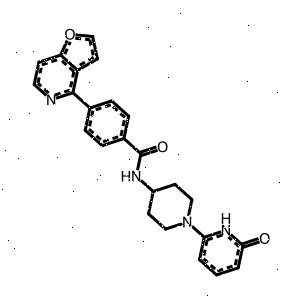 O=C(NC1CCN(c2cccc(=O)[nH]2)CC1)c1ccc(-c2nccc3occc23)cc1